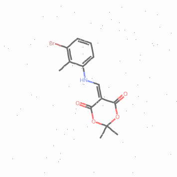 Cc1c(Br)cccc1NC=C1C(=O)OC(C)(C)OC1=O